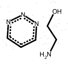 NCCO.c1cnnnc1